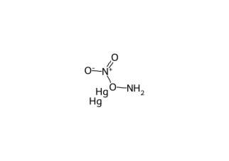 NO[N+](=O)[O-].[Hg].[Hg]